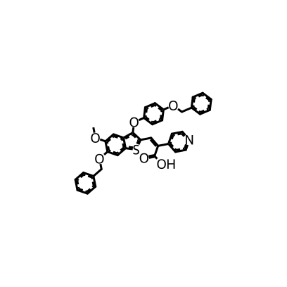 COc1cc2c(Oc3ccc(OCc4ccccc4)cc3)c(C=C(C(=O)O)c3ccncc3)sc2cc1OCc1ccccc1